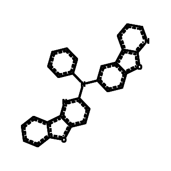 c1ccc(N(c2ccc3oc4ncccc4c3c2)c2ccc3oc4ccccc4c3n2)cc1